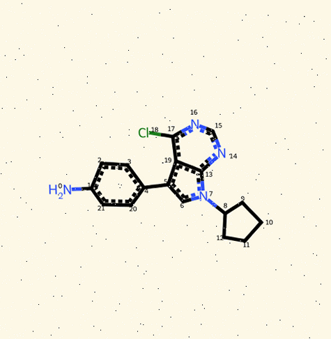 Nc1ccc(-c2cn(C3CCCC3)c3ncnc(Cl)c23)cc1